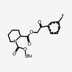 CC(C)(C)OC(=O)N1CCCCC1C(=O)OCC(=O)c1cccc(F)c1